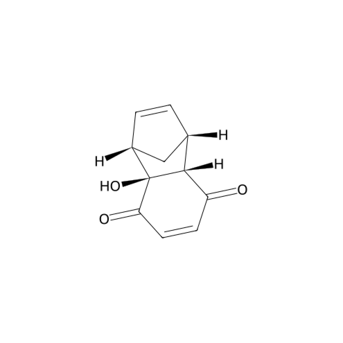 O=C1C=CC(=O)[C@]2(O)[C@@H]3C=C[C@@H](C3)[C@H]12